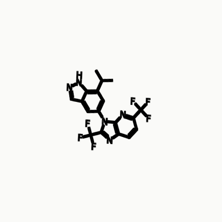 CC(C)c1cc(-n2c(C(F)(F)F)nc3ccc(C(F)(F)F)nc32)cc2cn[nH]c12